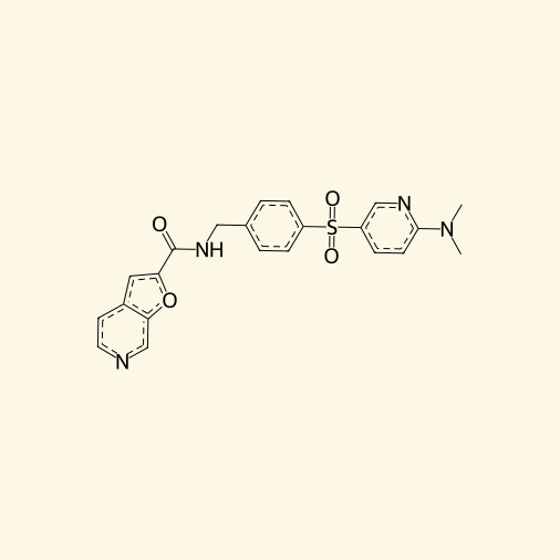 CN(C)c1ccc(S(=O)(=O)c2ccc(CNC(=O)c3cc4ccncc4o3)cc2)cn1